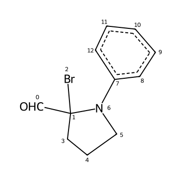 O=CC1(Br)CCCN1c1ccccc1